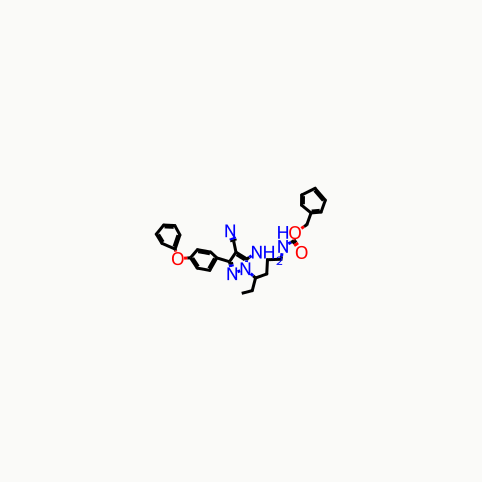 CCC(CCCNC(=O)OCc1ccccc1)n1nc(-c2ccc(Oc3ccccc3)cc2)c(C#N)c1N